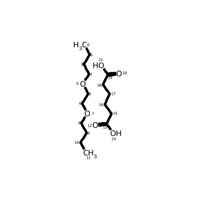 CCCCOCCOCCCC.O=C(O)CCCCC(=O)O